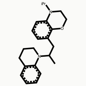 CC(C)N1CCOc2c(CC(C)N3CCCc4ccccc43)cccc21